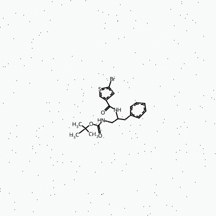 CC(C)(C)OC(=O)NCC(Cc1ccccc1)NC(=O)c1csc(Br)c1